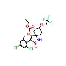 CCOC(=O)OC1=C(c2c(C)cc(Cl)cc2Cl)C(=O)NC12CCC(OCC(F)(F)F)CC2